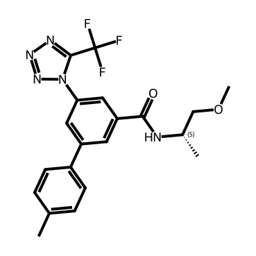 COC[C@H](C)NC(=O)c1cc(-c2ccc(C)cc2)cc(-n2nnnc2C(F)(F)F)c1